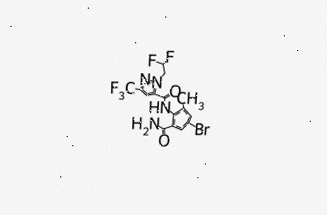 Cc1cc(Br)cc(C(N)=O)c1NC(=O)c1cc(C(F)(F)F)nn1CC(F)F